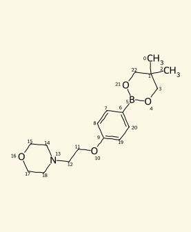 CC1(C)COB(c2ccc(OCCN3CCOCC3)cc2)OC1